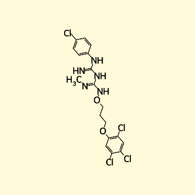 CN=C(NOCCCOc1cc(Cl)c(Cl)cc1Cl)NC(=N)Nc1ccc(Cl)cc1